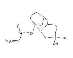 C=CC(=O)OC12CCC(C1)C1CC(C)(O)CC12